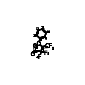 O=[SH](=O)C(F)(F)C(Oc1ccccc1)C(F)(F)F